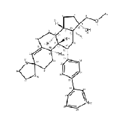 COC[C@]1(O)CC[C@H]2[C@@H]3CCC4=CC5(CC[C@@H]4[C@H]3[C@@H](c3ccc(-c4cccnc4)cc3)C[C@@]21C)SCCS5